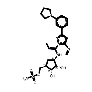 C=Nc1cc(-c2cccc(N3CCCC3)c2)nn1/C(=C\C)N[C@@H]1C[C@H](COS(N)(=O)=O)[C@@H](O)[C@H]1O